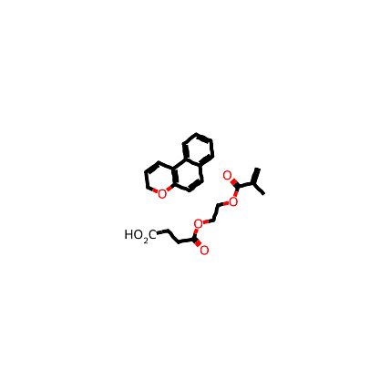 C1=Cc2c(ccc3ccccc23)OC1.C=C(C)C(=O)OCCOC(=O)CCC(=O)O